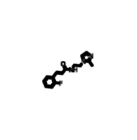 Cc1nccn1CCNC(=O)C=Cc1ccccc1F